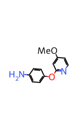 COc1ccnc(Oc2ccc(N)cc2)c1